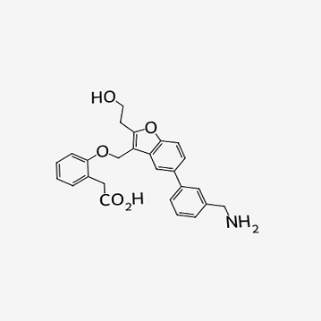 NCc1cccc(-c2ccc3oc(CCO)c(COc4ccccc4CC(=O)O)c3c2)c1